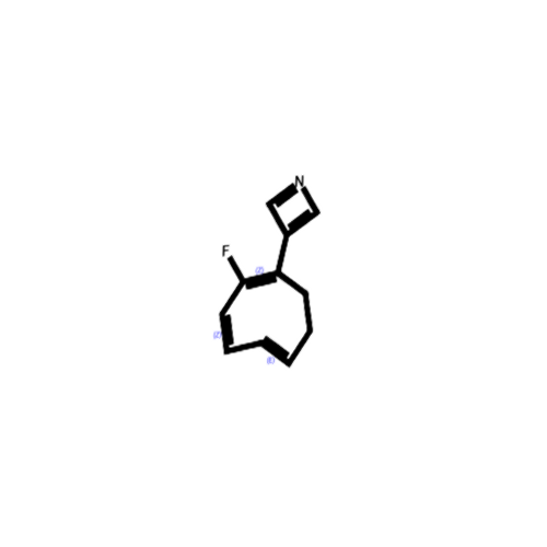 FC1=C(\C2=CN=C2)CC/C=C/C=C\1